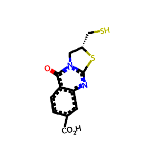 O=C(O)c1ccc2c(=O)n3c(nc2c1)S[C@@H](CS)C3